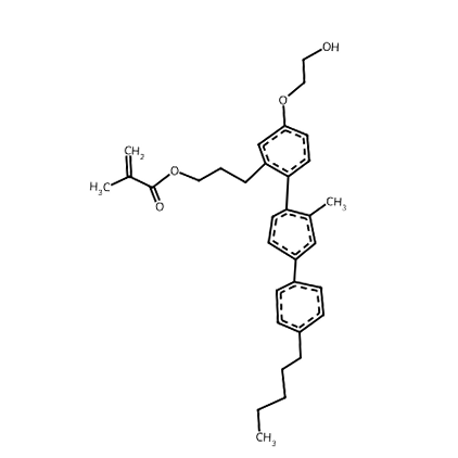 C=C(C)C(=O)OCCCc1cc(OCCO)ccc1-c1ccc(-c2ccc(CCCCC)cc2)cc1C